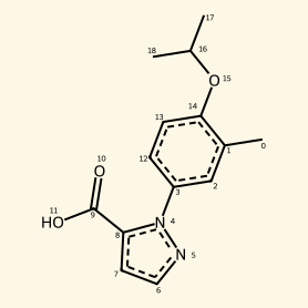 Cc1cc(-n2nccc2C(=O)O)ccc1OC(C)C